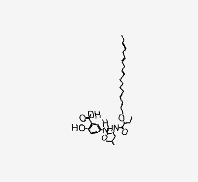 CCC=CCC=CCC=CCCCCCCCCOC(CC)C(=O)NC(CC(C)C)C(=O)Nc1ccc(O)c(C(=O)O)c1